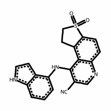 N#Cc1cnc2ccc3c(c2c1Nc1cccc2[nH]ccc12)CCS3(=O)=O